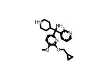 COc1ccc(C(N)(c2cccnc2)C2CCNCC2)nc1OCC1CC1